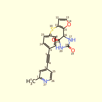 Cc1cc(C#Cc2ccc(Sc3ccoc3C3NC(=O)NC3=O)cc2)ccn1